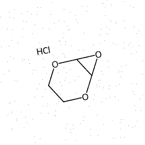 C1COC2OC2O1.Cl